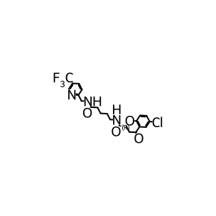 O=C(CCCCNC(=O)[C@H]1CC(=O)c2cc(Cl)ccc2O1)NCc1ccc(C(F)(F)F)cn1